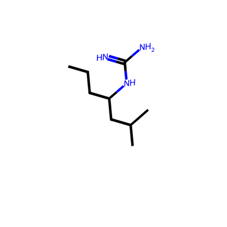 CCCC(CC(C)C)NC(=N)N